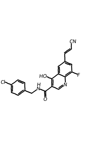 N#C/C=C/c1cc(F)c2ncc(C(=O)NCc3ccc(Cl)cc3)c(O)c2c1